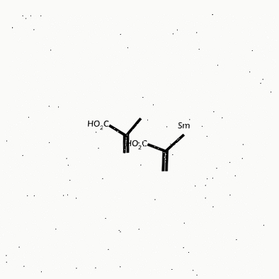 C=C(C)C(=O)O.C=C(C)C(=O)O.[Sm]